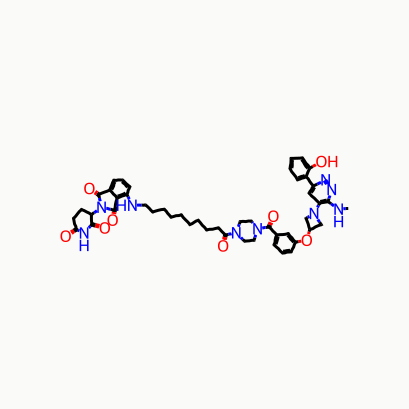 CNc1nnc(-c2ccccc2O)cc1N1CC(Oc2cccc(C(=O)N3CCN(C(=O)CCCCCCCCCNc4cccc5c4C(=O)N(C4CCC(=O)NC4=O)C5=O)CC3)c2)C1